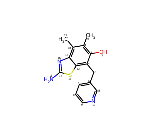 Cc1c(O)c(Cc2cccnc2)c2sc(N)nc2c1C